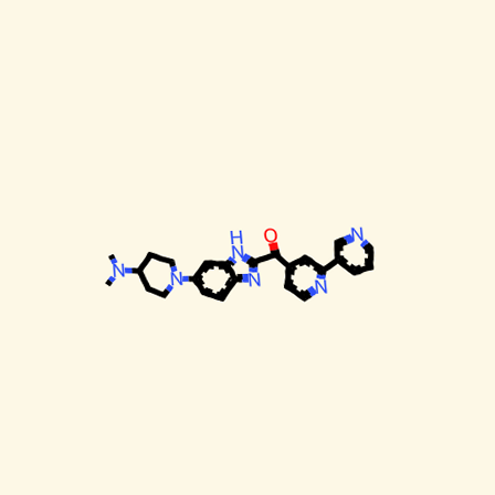 CN(C)C1CCN(c2ccc3nc(C(=O)c4ccnc(-c5cccnc5)c4)[nH]c3c2)CC1